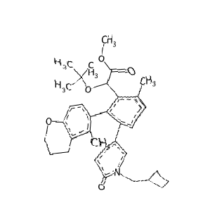 COC(=O)C(OC(C)(C)C)c1c(C)ccc(-c2ccc(=O)n(CC3CCC3)c2)c1-c1ccc2c(c1C)CCCO2